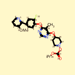 COc1cccnc1-c1ccc(Oc2ncnc(OC3CCN(OC(=O)OC(C)C)CC3)c2C)c(F)c1